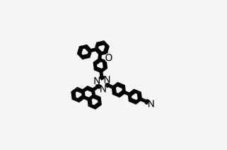 N#Cc1ccc(-c2ccc(-c3nc(-c4ccc5c(c4)oc4cccc(-c6ccccc6)c45)nc(-c4cc5ccccc5c5ccccc45)n3)cc2)cc1